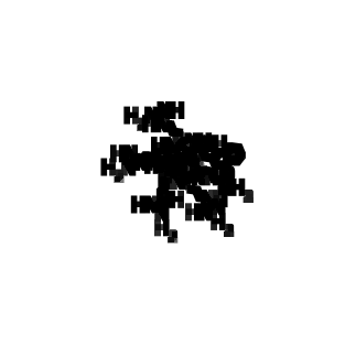 N=C(N)NCCC[C@H](NC(=O)[C@H](CCCNC(=N)N)NC(=O)[C@H](CCCNC(=N)N)NC(=O)[C@H](CCCNC(=N)N)NC(=O)[C@@H](N)Cc1ccc2ccccc2c1)C(=O)N[C@@H](CCC(N)=O)C(=O)O